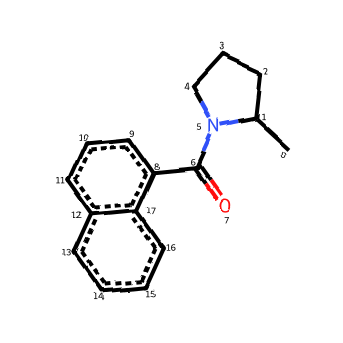 CC1CCCN1C(=O)c1cccc2ccccc12